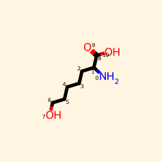 NC(CCCCCO)C(=O)O